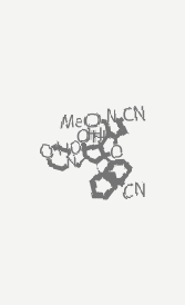 COc1nc(C#N)cc2c1[C@@H]1C(O)(O)[C@H](CN3CCOCC3)[C@@H](c3ccccc3)[C@@]1(c1ccc(C#N)cc1)O2